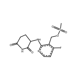 CS(=O)(=O)OCc1c(F)ccnc1NC1CCC(=O)NC1=O